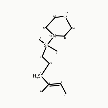 CC=C(C)[SiH2]CC[Si](C)(C)N1CCOCC1